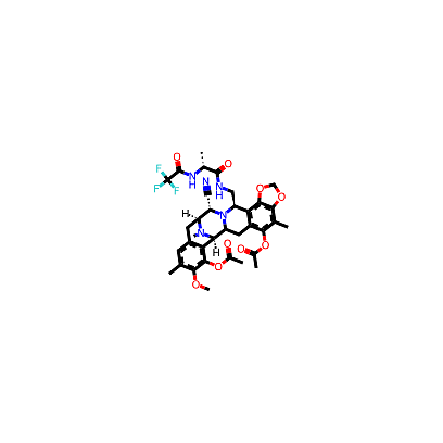 COc1c(C)cc2c(c1OC(C)=O)[C@@H]1C3Cc4c(OC(C)=O)c(C)c5c(c4[C@H](CNC(=O)[C@@H](C)NC(=O)C(F)(F)F)N3[C@@H](C#N)[C@H](C2)N1C)OCO5